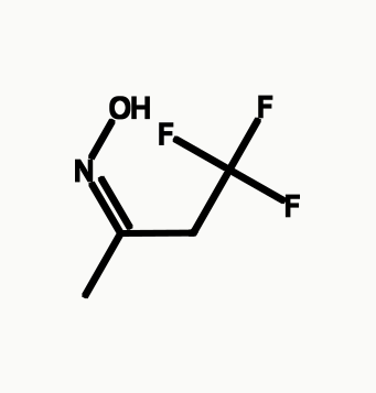 CC(CC(F)(F)F)=NO